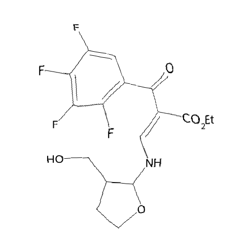 CCOC(=O)C(=CNC1OCCC1CO)C(=O)c1cc(F)c(F)c(F)c1F